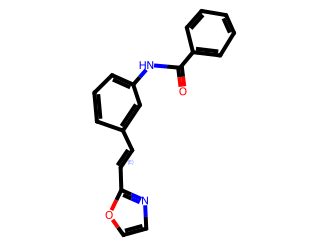 O=C(Nc1cccc(/C=C/c2ncco2)c1)c1ccccc1